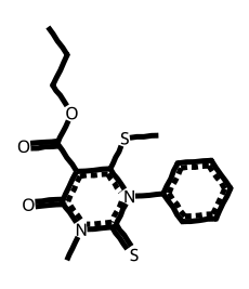 CCCOC(=O)c1c(SC)n(-c2ccccc2)c(=S)n(C)c1=O